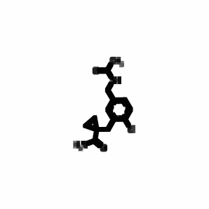 CC(=O)NCc1ccc(Cl)c(CC2(C(N)=O)CC2)c1